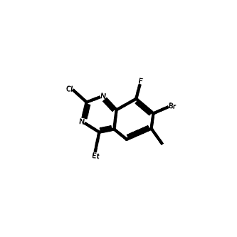 CCc1nc(Cl)nc2c(F)c(Br)c(C)cc12